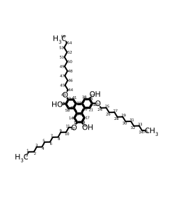 CCCCCCCCCCCCOc1cc2c(cc1O)c1cc(OCCCCCCCCCCCC)c(O)cc1c1cc(OCCCCCCCCCCCC)c(O)cc21